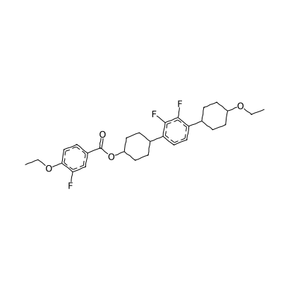 CCOc1ccc(C(=O)OC2CCC(c3ccc(C4CCC(OCC)CC4)c(F)c3F)CC2)cc1F